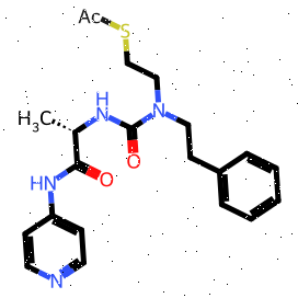 CC(=O)SCCN(CCc1ccccc1)C(=O)N[C@@H](C)C(=O)Nc1ccncc1